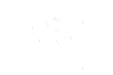 Cc1nc(Nc2ccc(F)cc2)nc(N2CCc3cc(O)ccc3C2C)c1C